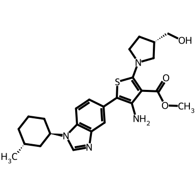 COC(=O)c1c(N2CC[C@H](CO)C2)sc(-c2ccc3c(c2)ncn3[C@@H]2CCC[C@@H](C)C2)c1N